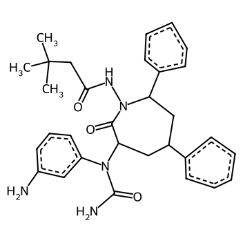 CC(C)(C)CC(=O)NN1C(=O)C(N(C(N)=O)c2cccc(N)c2)CC(c2ccccc2)CC1c1ccccc1